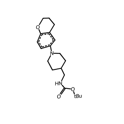 CC(C)(C)OC(=O)NCC1CCN(c2ccc3c(c2)CCCO3)CC1